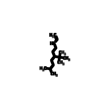 C=CNCCC(CCC(C)C)C(C)(C)C